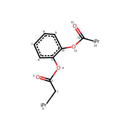 CC(C)CC(=O)Oc1ccccc1OC(=O)C(C)C